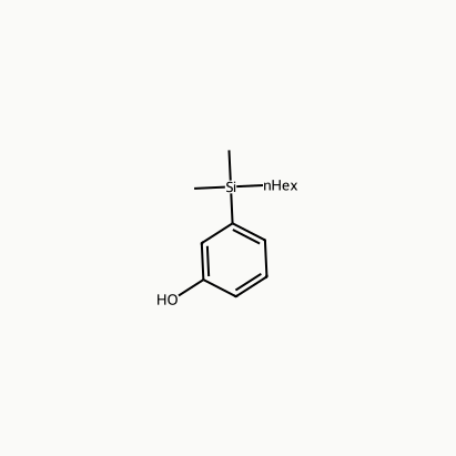 CCCCCC[Si](C)(C)c1cccc(O)c1